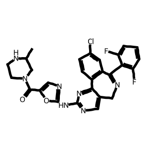 CC1CN(C(=O)c2cnc(Nc3ncc4c(n3)-c3ccc(Cl)cc3C(c3c(F)cccc3F)=NC4)o2)CCN1